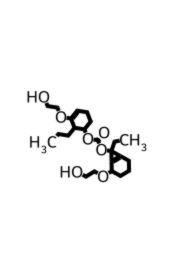 CCCC1C(OCCO)=CCCC1OC(=O)OC1(CC)C2=C1C(OCCO)CCC2